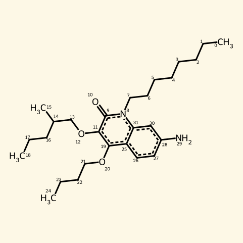 CCCCCCCCn1c(=O)c(OCC(C)CCC)c(OCCCC)c2ccc(N)cc21